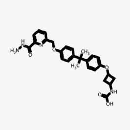 CC(C)(c1ccc(OCc2cccc(C(=O)NN)n2)cc1)c1ccc(OC2CC(NC(=O)O)C2)cc1